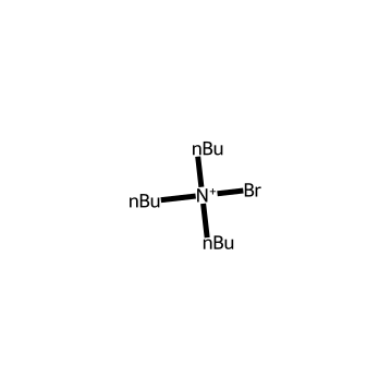 CCCC[N+](Br)(CCCC)CCCC